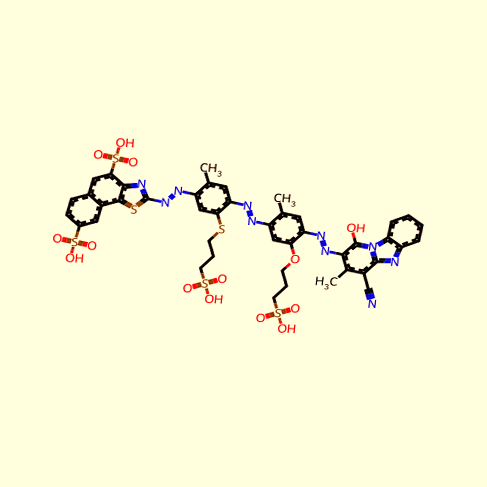 Cc1cc(N=Nc2cc(OCCCS(=O)(=O)O)c(N=Nc3c(C)c(C#N)c4nc5ccccc5n4c3O)cc2C)c(SCCCS(=O)(=O)O)cc1N=Nc1nc2c(S(=O)(=O)O)cc3ccc(S(=O)(=O)O)cc3c2s1